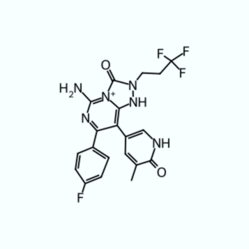 Cc1cc(-c2c(-c3ccc(F)cc3)nc(N)[n+]3c(=O)n(CCC(F)(F)F)[nH]c23)c[nH]c1=O